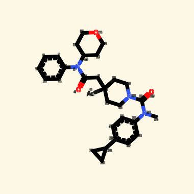 CC(=O)C1(CC(=O)N(c2ccccc2)C2CCOCC2)CCN(C(=O)N(C)c2ccc(C3CC3)cc2)CC1